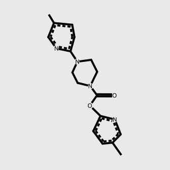 Cc1ccc(OC(=O)N2CCN(c3ccc(C)cn3)CC2)nc1